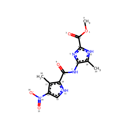 COC(=O)c1nc(NC(=O)c2[nH]cc([N+](=O)[O-])c2C)c(C)[nH]1